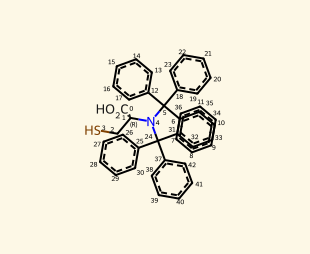 O=C(O)[C@H](CS)N(C(c1ccccc1)(c1ccccc1)c1ccccc1)C(c1ccccc1)(c1ccccc1)c1ccccc1